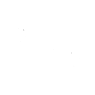 O=C(NO)c1ccc2c(c1)CC[C@@]1(CCN(CC(F)(F)F)C1=O)C2